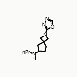 CCCN[C@@H]1CCC2(C1)CN(c1nnco1)C2